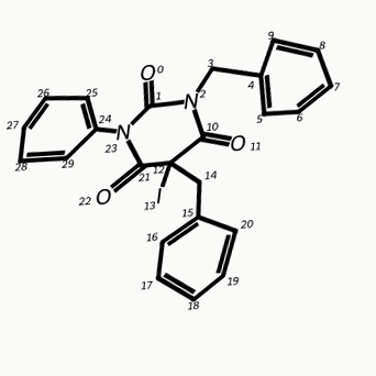 O=C1N(Cc2ccccc2)C(=O)C(I)(Cc2ccccc2)C(=O)N1c1ccccc1